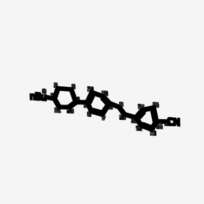 CCCCC1CCC(c2ccc(CCc3ccc(C#N)cc3)cc2)CC1